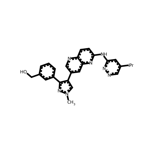 CC(C)c1cnnc(Nc2ccc3ncc(-c4cn(C)nc4-c4cccc(CO)c4)cc3n2)c1